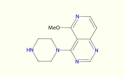 COc1nccc2ncnc(N3CCNCC3)c12